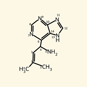 CC(C)=CC(N)c1ncnc2nc[nH]c12